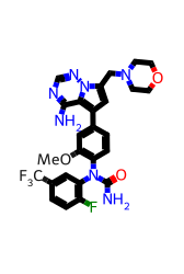 COc1cc(-c2cc(CN3CCOCC3)n3ncnc(N)c23)ccc1N(C(N)=O)c1cc(C(F)(F)F)ccc1F